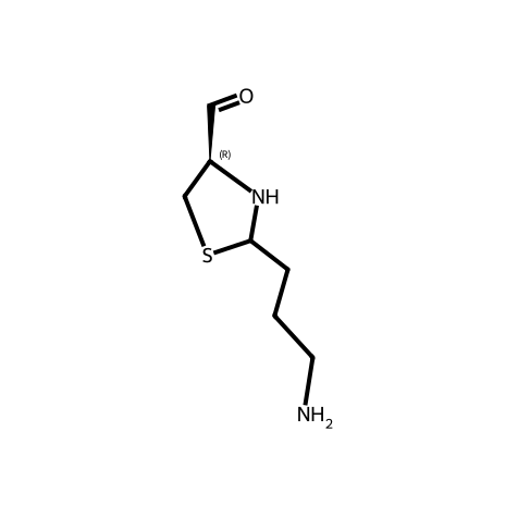 NCCCC1N[C@H](C=O)CS1